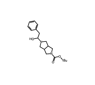 CC(C)(C)OC(=O)N1CC2CN(C(O)Cc3ccccc3)CC2C1